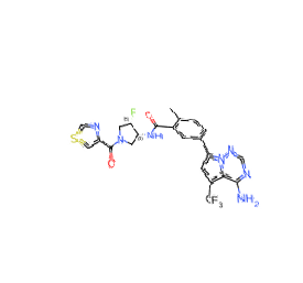 Cc1ccc(-c2cc(C(F)(F)F)c3c(N)ncnn23)cc1C(=O)N[C@@H]1CN(C(=O)c2cscn2)C[C@@H]1F